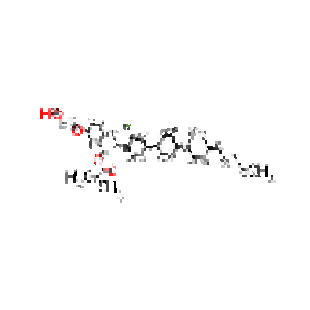 C=C(C)C(=O)OCc1cc(OCCO)ccc1CCc1ccc(-c2ccc(C3CCC(CCCCC)CC3)cc2)cc1F